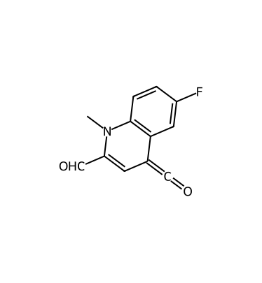 CN1C(C=O)=CC(=C=O)c2cc(F)ccc21